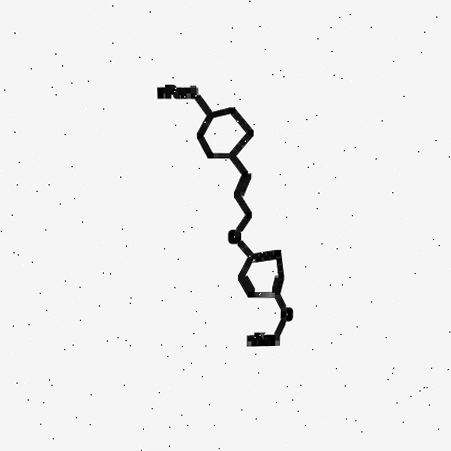 CCCCCCCCCOc1ccc(OCC=CC2CCC(CCCCC)CC2)cc1